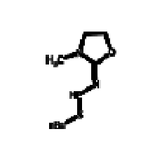 CCCCSPN=C1OCCN1C